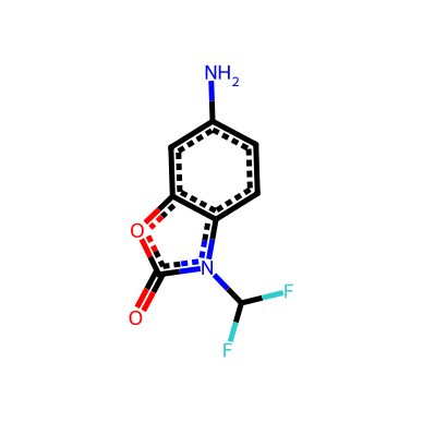 Nc1ccc2c(c1)oc(=O)n2C(F)F